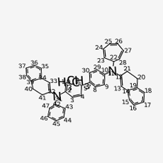 C/C=C(\C=C/C(C)c1ccc(N(C2=Cc3ccccc3CC2)C2C=CC=CC=C2)cc1)N(C1=Cc2ccccc2CC1)c1ccccc1